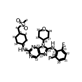 CS(=O)(=O)CC1CCC(Nc2ncc3nc(Nc4c(F)cccc4F)n(C4CCOCC4)c3n2)CC1